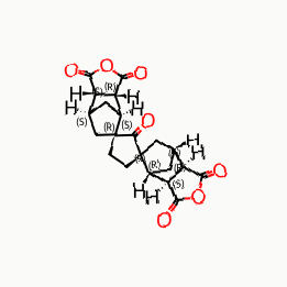 O=C1OC(=O)[C@@H]2[C@H]1[C@@H]1C[C@H]2[C@@]2(CC[C@]3(C[C@@H]4C[C@H]3[C@H]3C(=O)OC(=O)[C@@H]43)C2=O)C1